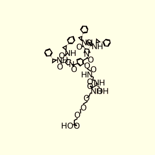 O=C(O)CCOCCOCCOCCNC(=O)[C@H](CO)NC(=O)CNC(=O)COc1cc(C(=O)N2C[C@@H](C(=O)N[C@H]3C[C@@H]3c3ccccc3)[C@H](C(=O)N[C@H]3C[C@@H]3c3ccccc3)C2)ccc1C(=O)N1C[C@@H](C(=O)N[C@H]2C[C@@H]2c2ccccc2)[C@H](C(=O)N[C@H]2C[C@@H]2c2ccccc2)C1